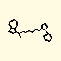 CC(NCCCCCc1cccn1-c1ccccc1)c1ccc2cccccc1-2